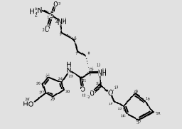 NS(=O)(=O)NCCCC[C@H](NC(=O)OCc1ccccc1)C(=O)Nc1ccc(O)cc1